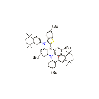 CC(C)(C)c1ccc2c(c1)B1c3sc4cc(C(C)(C)C)ccc4c3N(c3ccc4c(c3)C(C)(C)CCC4(C)C)c3cc(C(C)(C)C)cc(c31)N2c1ccc(C(C)(C)C)cc1-c1ccc2c(c1)C(C)(C)CCC2(C)C